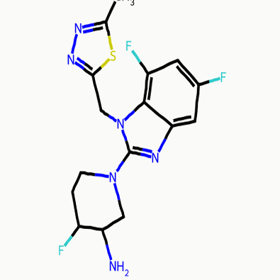 Cc1nnc(Cn2c(N3CCC(F)C(N)C3)nc3cc(F)cc(F)c32)s1